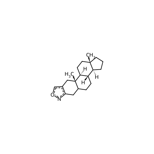 C[C@@]12CCC[C@H]1[C@@H]1CCC3Cc4nocc4C[C@]3(C)[C@H]1CC2